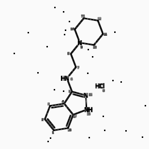 Cl.c1ccc2c(NCCN3CCCCC3)n[nH]c2c1